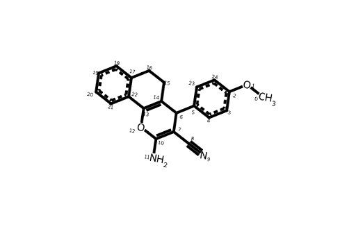 COc1ccc(C2C(C#N)=C(N)OC3=C2CCc2ccccc23)cc1